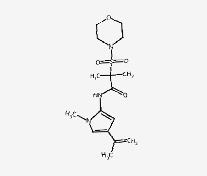 C=C(C)c1cc(NC(=O)C(C)(C)S(=O)(=O)N2CCOCC2)n(C)c1